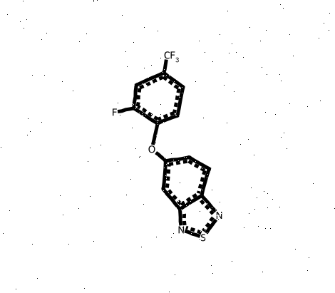 Fc1cc(C(F)(F)F)ccc1Oc1ccc2nsnc2c1